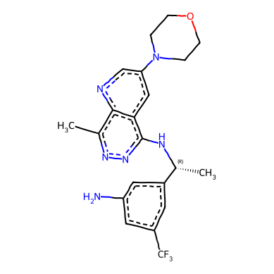 Cc1nnc(N[C@H](C)c2cc(N)cc(C(F)(F)F)c2)c2cc(N3CCOCC3)cnc12